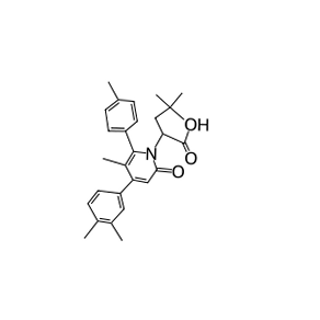 Cc1ccc(-c2c(C)c(-c3ccc(C)c(C)c3)cc(=O)n2C(CC(C)(C)C)C(=O)O)cc1